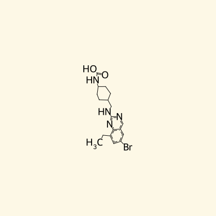 CCc1cc(Br)cc2cnc(NCC3CCC(NC(=O)O)CC3)nc12